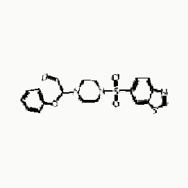 O=CC(Oc1ccccc1)N1CCN(S(=O)(=O)c2ccc3ncsc3c2)CC1